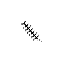 CC(I)C(F)(F)C(F)(F)C(F)(F)C(F)(F)C(F)(F)C(F)(F)C(F)(F)F